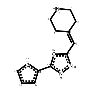 C(=C1CCNCC1)c1nnc(-c2cccs2)o1